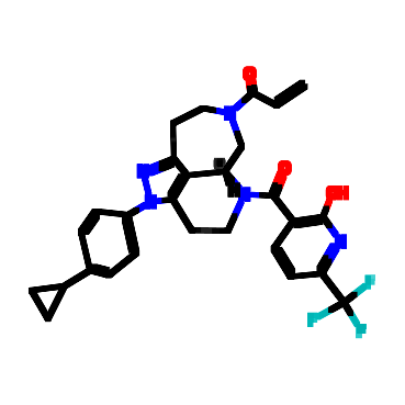 C=CC(=O)N1CCc2nn(-c3ccc(C4CC4)cc3)c3c2[C@H](C1)N(C(=O)c1ccc(C(F)(F)F)nc1O)CC3